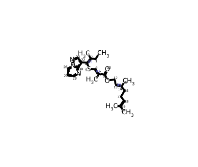 CC/C(C)=C(\S/C=C(\C)C(=O)OC/C=C(\C)CCC=C(C)C)c1cnn2cccnc12